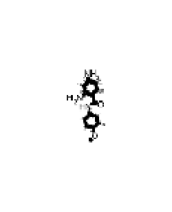 COc1ccc(NC(=O)c2ccc(N)cc2N)cc1